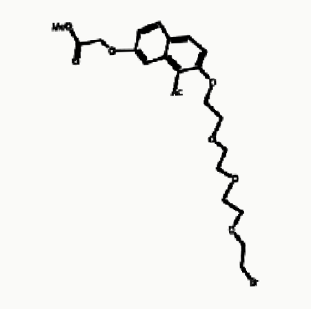 COC(=O)COc1ccc2ccc(OCCOCCOCCOCCBr)c(C(C)=O)c2c1